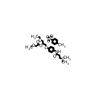 CCOCC(COc1ccc(NC(=O)CC[S+](C)C)cc1)OC(=O)COC.Cc1ccc(S(=O)(=O)[O-])cc1